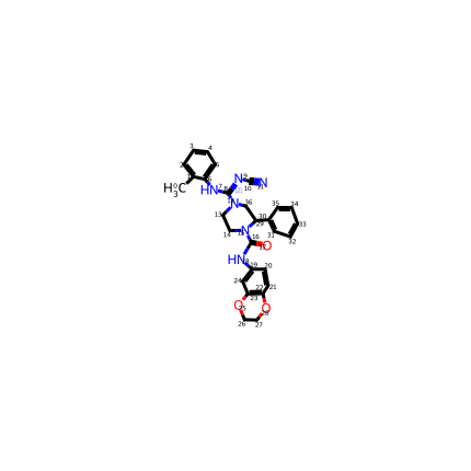 Cc1ccccc1N/C(=N/C#N)N1CCN(C(=O)Nc2ccc3c(c2)OCCO3)C(c2ccccc2)C1